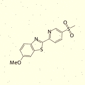 COc1ccc2nc(-c3ccc(S(C)(=O)=O)cn3)sc2c1